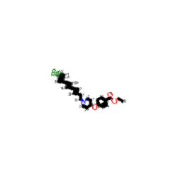 CCOC(=O)c1ccc(OC2CCN(CCCCCCCCBr)CC2)cc1